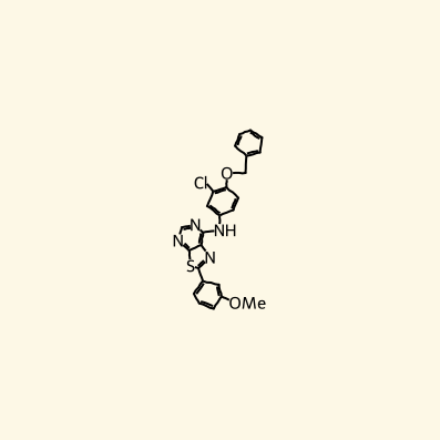 COc1cccc(-c2nc3c(Nc4ccc(OCc5ccccc5)c(Cl)c4)ncnc3s2)c1